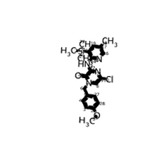 COc1ccc(Cn2cc(Cl)nc(Nc3ncc(C)cc3[Si](C)(C)C)c2=O)cc1